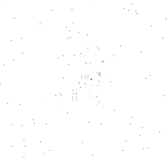 O=C(NCC1CCCCC1)c1cc(Cl)ccc1NC(=O)c1cccc2c1OCC2